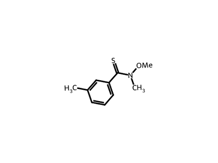 CON(C)C(=S)c1cccc(C)c1